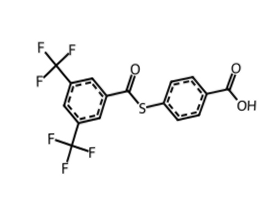 O=C(O)c1ccc(SC(=O)c2cc(C(F)(F)F)cc(C(F)(F)F)c2)cc1